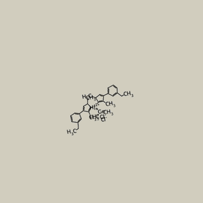 CCc1cccc(C2=CC(C)[C]([Hf+2]([C]3=C(C)C(c4cccc(CC)c4)=CC3C)=[Ge]([CH3])[CH3])=C2C)c1.[Cl-].[Cl-]